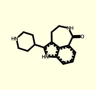 O=C1NCCc2c(C3CCNCC3)[nH]c3cccc1c23